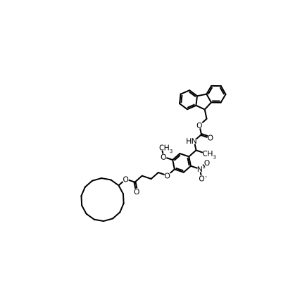 COc1cc(C(C)NC(=O)OCC2c3ccccc3-c3ccccc32)c([N+](=O)[O-])cc1OCCCC(=O)OC1CCCCCCCCCCCCC1